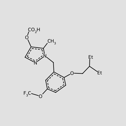 CCC(CC)COc1ccc(OC(F)(F)F)cc1Cn1ncc(OC(=O)O)c1C